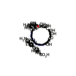 CC(=O)O.CCc1nc(N)nc(N)c1-c1ccc(Cl)cc1.C[C@@H]1[C@H](O)[C@@H](C)\C=C/C=C\C=C/C=C\C=C/C=C\C=C/[C@H](O[C@@H]2O[C@H](C)[C@@H](O)[C@H](N)[C@@H]2O)C[C@@H]2O[C@](O)(C[C@@H](O)C[C@@H](O)[C@H](O)CC[C@@H](O)C[C@@H](O)CC(=O)O[C@H]1C)C[C@H](O)[C@H]2C(=O)O.Nc1[nH]c(=O)ncc1F